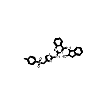 Cc1ccc(S(=O)(=O)Cc2csc(Nc3nc(NC4c5ccccc5CC4O)c4ccccc4n3)n2)cc1